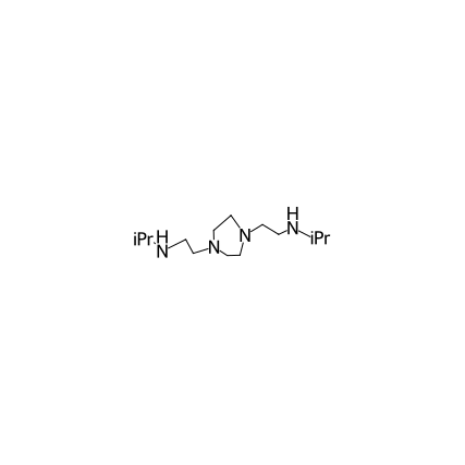 CC(C)NCCN1CCN(CCNC(C)C)CC1